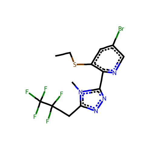 CCSc1cc(Br)cnc1-c1nnc(CC(F)(F)C(F)(F)F)n1C